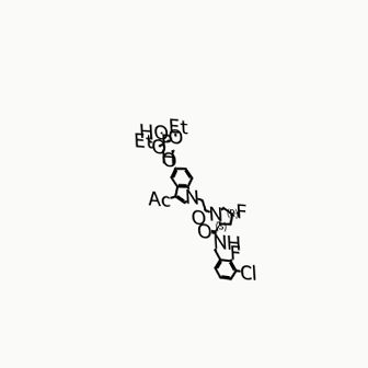 CCO[PH](O)(COc1ccc2c(c1)c(C(C)=O)cn2CC(=O)N1C[C@H](F)C[C@H]1C(=O)NCc1cccc(Cl)c1F)OCC